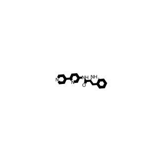 N[C@H](Cc1ccccc1)C(=O)Nc1ccc(-c2ccncc2)nc1